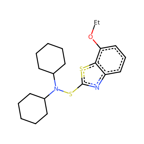 CCOc1cccc2nc(SN(C3CCCCC3)C3CCCCC3)sc12